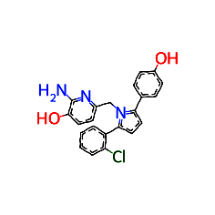 Nc1nc(Cn2c(-c3ccc(O)cc3)ccc2-c2ccccc2Cl)ccc1O